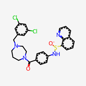 O=C(c1ccc(N[S+]([O-])c2cccc3cccnc23)cc1)N1CCCN(Cc2cc(Cl)cc(Cl)c2)CC1